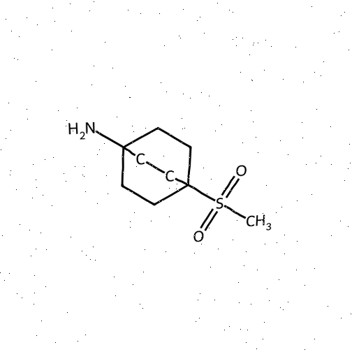 CS(=O)(=O)C12CCC(N)(CC1)CC2